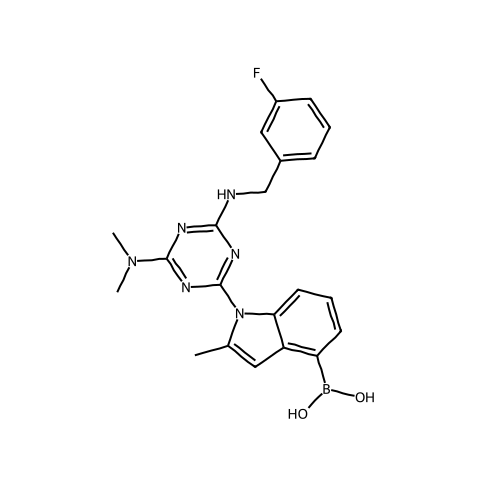 Cc1cc2c(B(O)O)cccc2n1-c1nc(NCc2cccc(F)c2)nc(N(C)C)n1